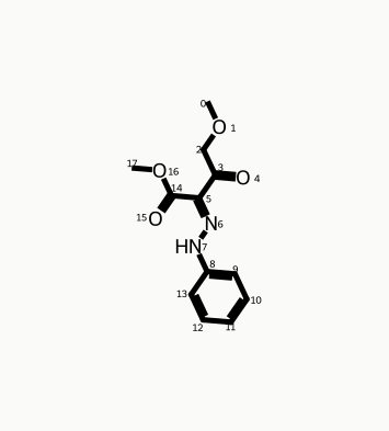 COCC(=O)C(=NNc1ccccc1)C(=O)OC